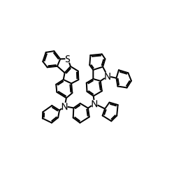 c1ccc(N(c2cccc(N(c3ccccc3)c3ccc4c5ccccc5n(-c5ccccc5)c4c3)c2)c2ccc3c(ccc4sc5ccccc5c43)c2)cc1